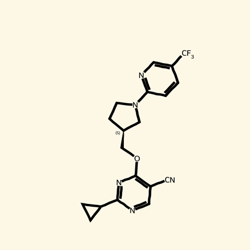 N#Cc1cnc(C2CC2)nc1OC[C@H]1CCN(c2ccc(C(F)(F)F)cn2)C1